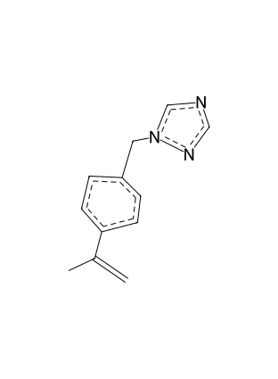 C=C(C)c1ccc(Cn2cncn2)cc1